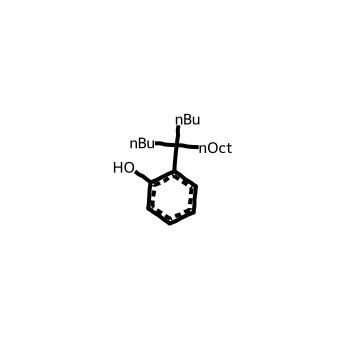 CCCCCCCCC(CCCC)(CCCC)c1ccccc1O